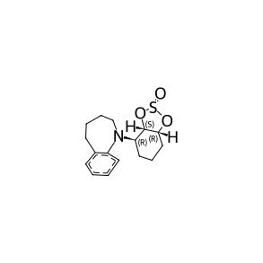 O=S1O[C@H]2[C@H](N3CCCCc4ccccc43)CCC[C@H]2O1